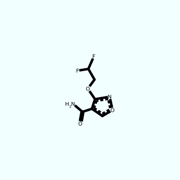 NC(=O)c1conc1OCC(F)F